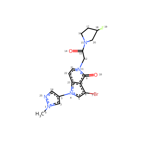 Cn1cc(-n2cc(Br)c3c(=O)n(CC(=O)N4CCC(F)C4)ccc32)cn1